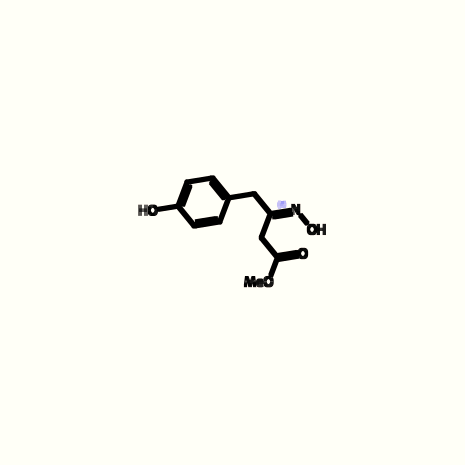 COC(=O)C/C(Cc1ccc(O)cc1)=N\O